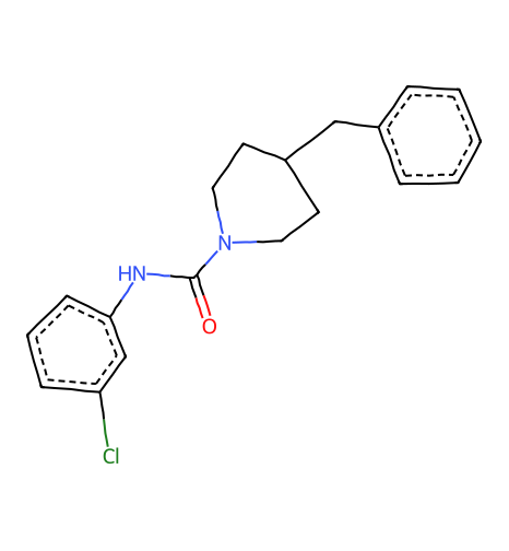 O=C(Nc1cccc(Cl)c1)N1CCC(Cc2ccccc2)CC1